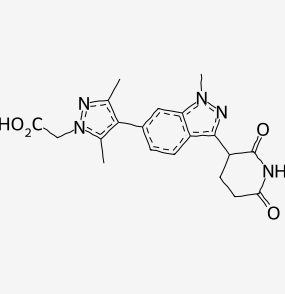 Cc1nn(CC(=O)O)c(C)c1-c1ccc2c(C3CCC(=O)NC3=O)nn(C)c2c1